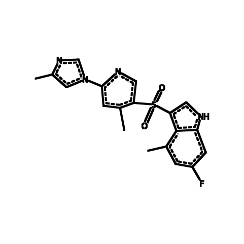 Cc1cn(-c2cc(C)c(S(=O)(=O)c3c[nH]c4cc(F)cc(C)c34)cn2)cn1